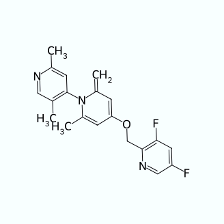 C=C1C=C(OCc2ncc(F)cc2F)C=C(C)N1c1cc(C)ncc1C